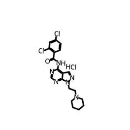 Cl.O=C(Nc1ncnc2c1cnn2CCN1CCCCC1)c1ccc(Cl)cc1Cl